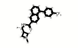 C[C@H](NC(=O)c1ccc2c(-c3ccc(C(F)(F)F)cc3)cccc2c1)C1CN(C)C1